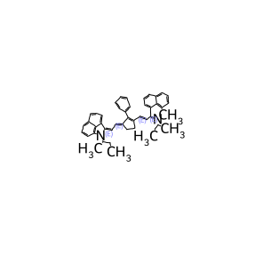 CCC(C)/N=C(\C=C\C1=C(c2ccccc2)C(=C/C=c2\c3cccc4cccc(c43)n2C(C)CC)/CC1)c1cccc2cccc(C)c12